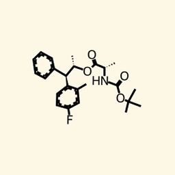 Cc1cc(F)ccc1[C@@H](c1ccccc1)[C@H](C)OC(=O)[C@H](C)NC(=O)OC(C)(C)C